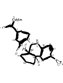 COC(=O)c1ccc([C@@H]2Nc3ccc(C(F)(F)F)cc3[C@@H]3CCC[C@@H]32)c(F)c1